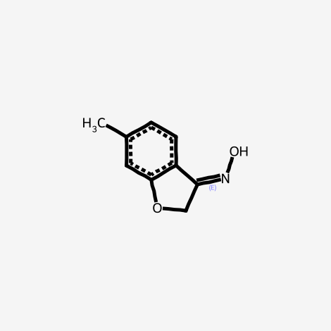 Cc1ccc2c(c1)OC/C2=N/O